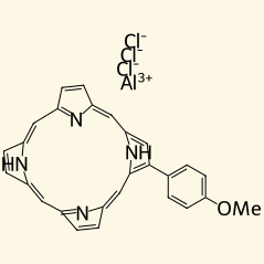 COc1ccc(-c2cc3cc4nc(cc5ccc(cc6nc(cc2[nH]3)C=C6)[nH]5)C=C4)cc1.[Al+3].[Cl-].[Cl-].[Cl-]